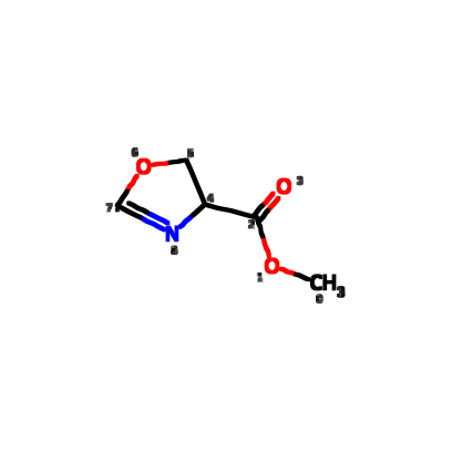 COC(=O)C1CO[C]=N1